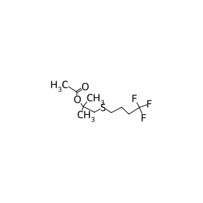 CC(=O)OC(C)(C)CSCCCC(F)(F)F